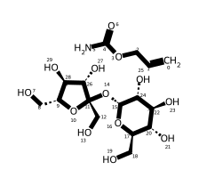 C=CCOC(N)=O.OC[C@H]1O[C@@](CO)(O[C@H]2O[C@H](CO)[C@@H](O)[C@H](O)[C@H]2O)[C@@H](O)[C@@H]1O